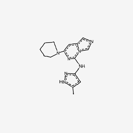 Cc1cc(Nc2nc(N3CCCCC3)cc3cncn23)n[nH]1